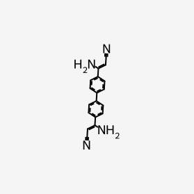 N#C/C=C(\N)c1ccc(-c2ccc(/C(N)=C/C#N)cc2)cc1